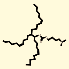 CCCCC/C=C\CCCC(CCC/C=C\CCCCC)C(CCC/C=C\CCCCC)OC(=O)OCCCCN(C)C